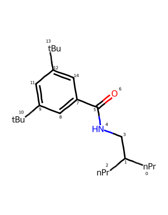 CCCC(CCC)CNC(=O)c1cc(C(C)(C)C)cc(C(C)(C)C)c1